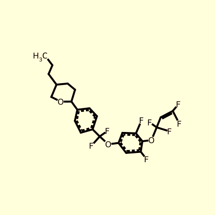 CCCC1CCC(c2ccc(C(F)(F)Oc3cc(F)c(OC(F)(F)C=C(F)F)c(F)c3)cc2)OC1